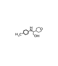 Cc1ccc(NC(CO)C2CCOCC2)cc1